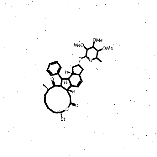 CC[C@H]1CCCC[C@@H](C)C(=O)C2C(c3ccccc3)C3[C@@H]4C[C@H](OC5OC(C)C(OC)C(OC)C5OC)CC4C=C[C@H]3[C@@H]2CC(=O)O1